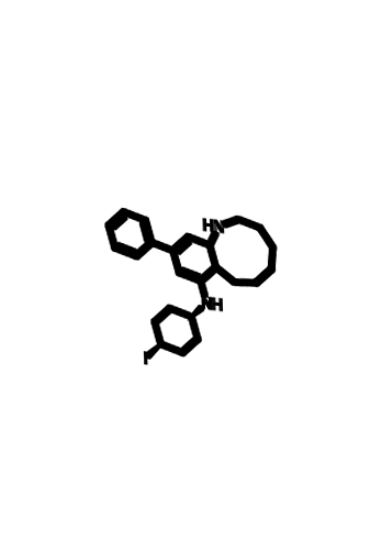 I[C@H]1CC[C@@H](NC2=CC(c3ccccc3)=CC3NCCCCCCC23)CC1